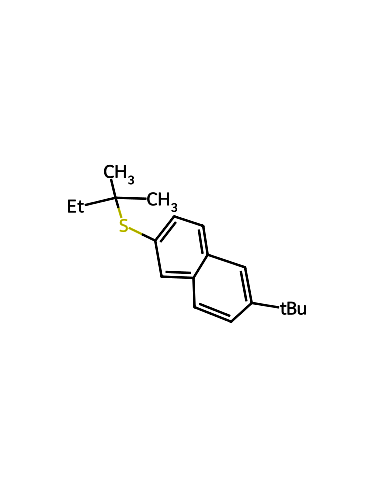 CCC(C)(C)Sc1ccc2cc(C(C)(C)C)ccc2c1